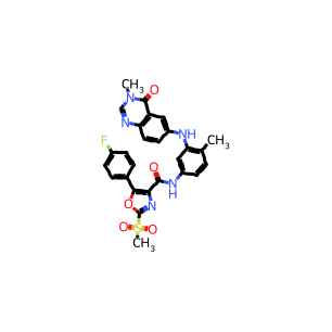 Cc1ccc(NC(=O)c2nc(S(C)(=O)=O)oc2-c2ccc(F)cc2)cc1Nc1ccc2ncn(C)c(=O)c2c1